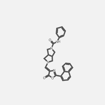 O=C1OC(c2cccc3ccccc23)=NC1=CN1CC2CN(C(=O)Nc3ccccc3)CC2C1